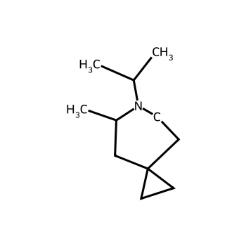 CC(C)N1CCC2(CC2)CC1C